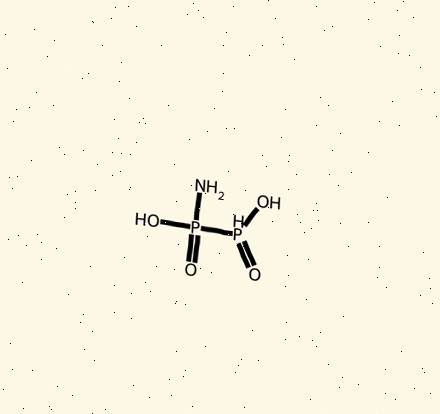 NP(=O)(O)[PH](=O)O